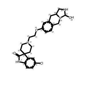 O=C1Nc2ccc(Cl)cc2C12CCN(CCOc1ccc3c(c1)CC1CNC(O)N1C3)CC2